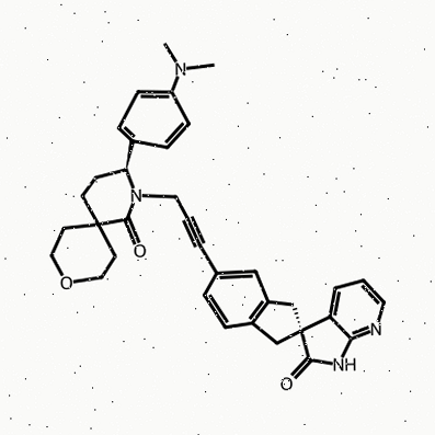 CN(C)c1ccc([C@@H]2CCC3(CCOCC3)C(=O)N2CC#Cc2ccc3c(c2)C[C@@]2(C3)C(=O)Nc3ncccc32)cc1